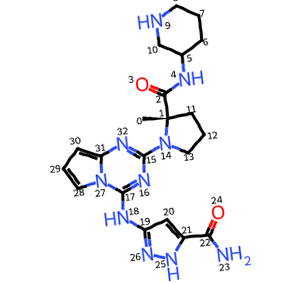 C[C@@]1(C(=O)NC2CCCNC2)CCCN1c1nc(Nc2cc(C(N)=O)[nH]n2)n2cccc2n1